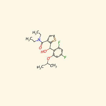 CCN(CC)C(=O)c1ccsc1C(O)c1c(F)cc(F)cc1OC(C)C